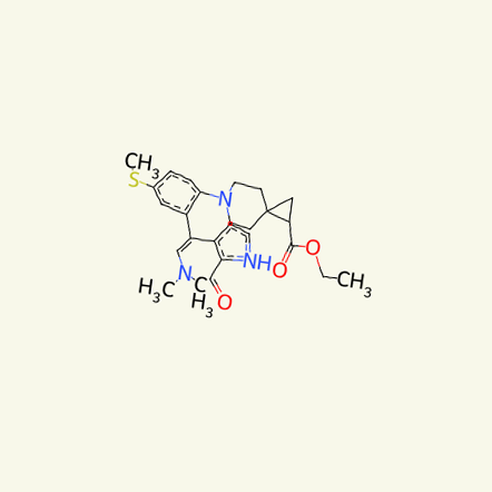 CCOC(=O)C1CC12CCN(c1ccc(SC)cc1/C(=C/N(C)C)c1cc[nH]c1C=O)CC2